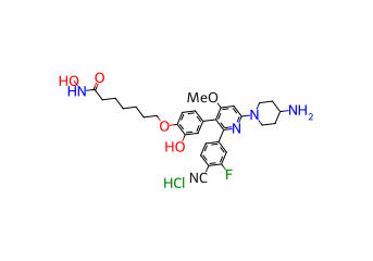 COc1cc(N2CCC(N)CC2)nc(-c2ccc(C#N)c(F)c2)c1-c1ccc(OCCCCCCC(=O)NO)c(O)c1.Cl